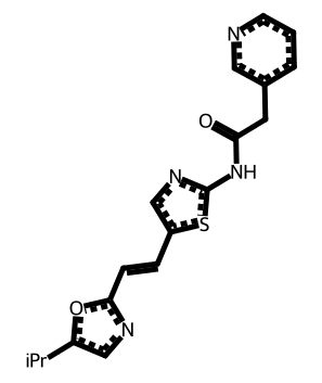 CC(C)c1cnc(/C=C/c2cnc(NC(=O)Cc3cccnc3)s2)o1